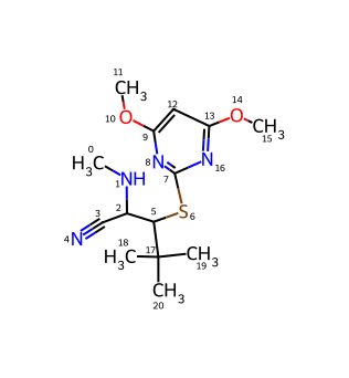 CNC(C#N)C(Sc1nc(OC)cc(OC)n1)C(C)(C)C